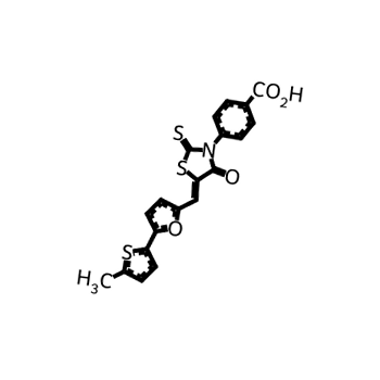 Cc1ccc(-c2ccc(C=C3SC(=S)N(c4ccc(C(=O)O)cc4)C3=O)o2)s1